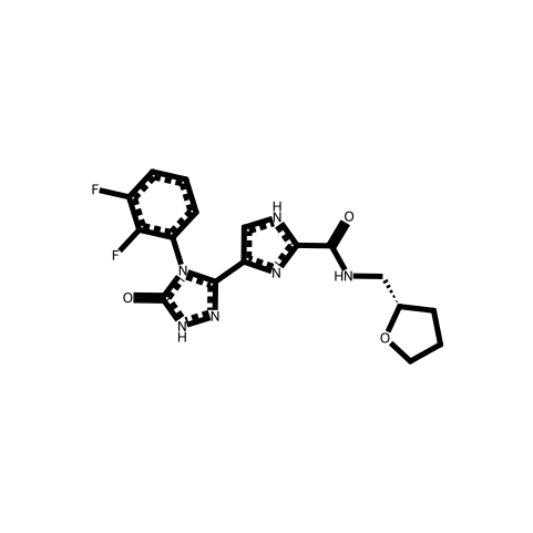 O=C(NC[C@@H]1CCCO1)c1nc(-c2n[nH]c(=O)n2-c2cccc(F)c2F)c[nH]1